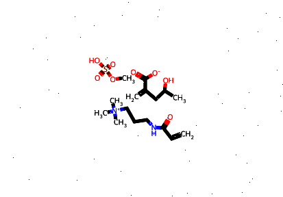 C=C(CC(C)O)C(=O)[O-].C=CC(=O)NCCC[N+](C)(C)C.COS(=O)(=O)O